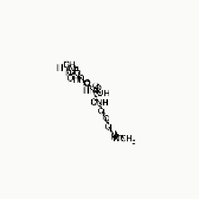 CCc1cn(CCOCCOCCOCCNC(=O)CC[C@H](NC(=O)c2ccc(NCc3cnc4nc(NC)nc(O)c4n3)cc2)C(=O)O)nn1